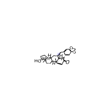 CN1C(=O)C=C[C@]2(C)[C@H]3CC[C@]4(C)[C@@H](O)CC[C@H]4[C@@H]3C/C(=C/c3ccc4c(c3)OCO4)[C@@H]12